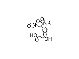 CC(C)CC1COC(=O)N1C(CCN1CCOCC1)c1ccccc1.O=C(O)/C=C/C(=O)O